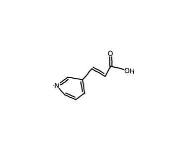 O=C(O)/C=C/C1=CC=C[N+]=C1